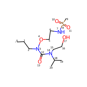 [CH2]CCN(OCCNS(C)(=O)=O)C(=O)N(CCO)C(C)C